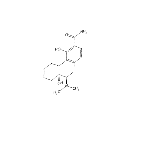 CN(C)[C@@H]1Cc2ccc(C(N)=O)c(O)c2C2CCCC[C@]21O